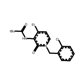 CCc1ccn(Cc2ccccc2Cl)c(=O)c1NC(=O)C(C)(C)C